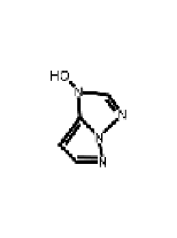 On1cnn2nccc12